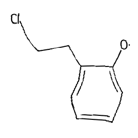 [O]c1ccccc1CCCl